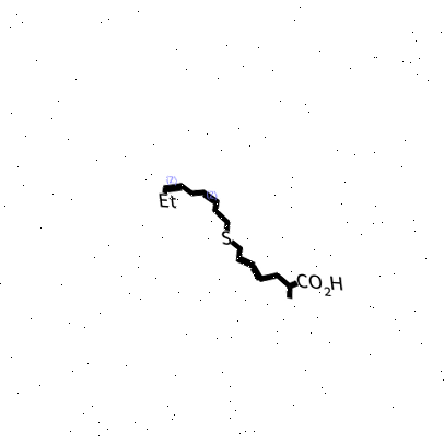 CC/C=C\C/C=C\CCSCC=C=CCC(C)C(=O)O